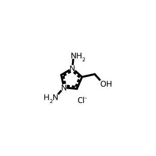 Nn1c[n+](N)cc1CO.[Cl-]